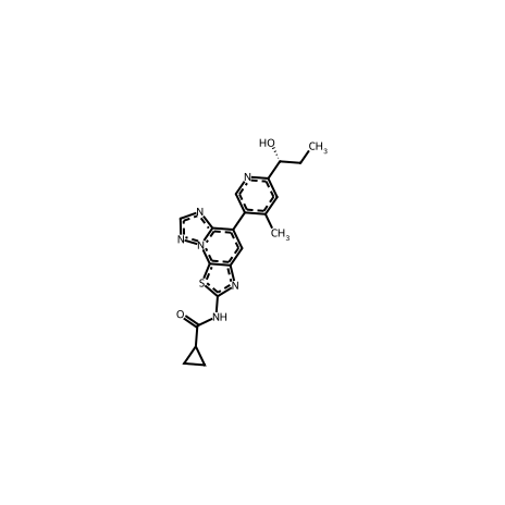 CC[C@@H](O)c1cc(C)c(-c2cc3nc(NC(=O)C4CC4)sc3n3ncnc23)cn1